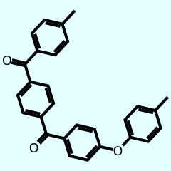 Cc1ccc(Oc2ccc(C(=O)c3ccc(C(=O)c4ccc(C)cc4)cc3)cc2)cc1